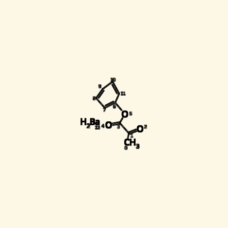 CC(=O)C(=O)Oc1ccccc1.[BaH2]